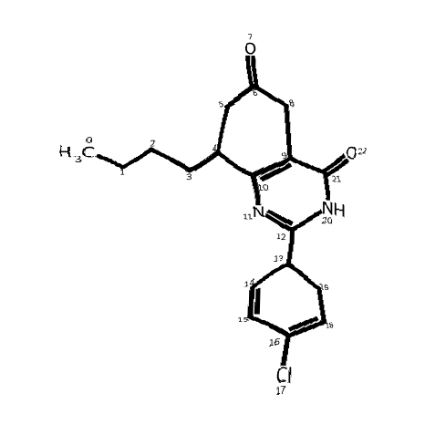 CCCCC1CC(=O)Cc2c1nc(C1C=CC(Cl)=CC1)[nH]c2=O